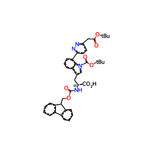 CC(C)(C)OC(=O)Cc1ccc(-c2cccc3c(C[C@H](NC(=O)OCC4c5ccccc5-c5ccccc54)C(=O)O)cn(C(=O)OC(C)(C)C)c23)nn1